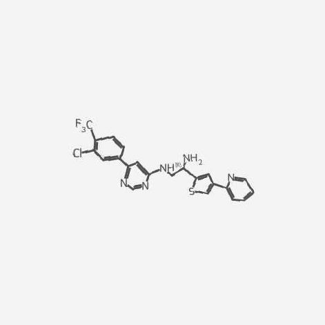 N[C@H](CNc1cc(-c2ccc(C(F)(F)F)c(Cl)c2)ncn1)c1cc(-c2ccccn2)cs1